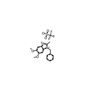 COc1cc2[te]c(C)[n+](Cc3ccccc3)c2cc1OC.O=S(=O)([O-])C(F)(F)F